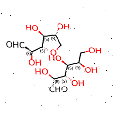 O=C[C@H](O)[C@@H](O)[C@@H](O)[C@H](O)CO.O=C[C@H](O)[C@H]1OC[C@@H](O)[C@@H]1O